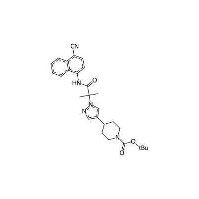 CC(C)(C)OC(=O)N1CCC(c2cnn(C(C)(C)C(=O)Nc3ccc(C#N)c4ccccc34)c2)CC1